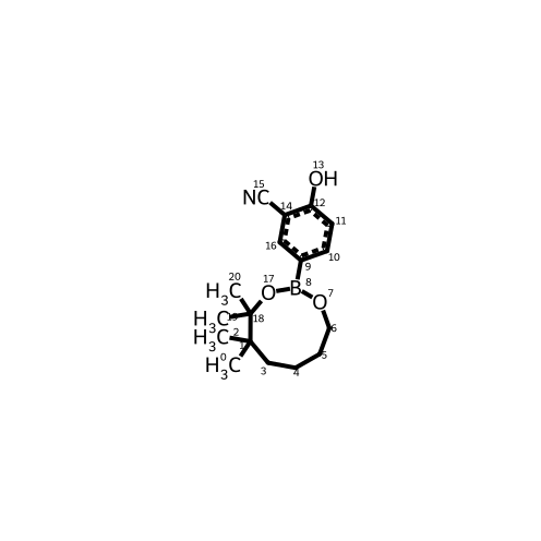 CC1(C)CCCCOB(c2ccc(O)c(C#N)c2)OC1(C)C